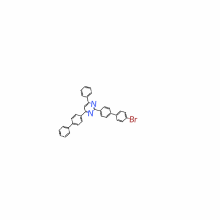 Brc1ccc(-c2ccc(-c3nc(-c4ccccc4)cc(-c4ccc(-c5ccccc5)cc4)n3)cc2)cc1